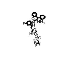 N[C@H](C(=O)Nc1ccc(F)cc1CC[C@@H]1CN[C@H](COC(=O)NCC(F)(F)F)CO1)C(c1ccccc1)c1ccccc1